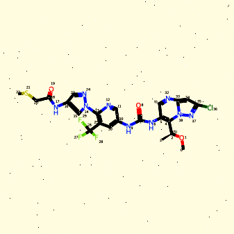 CO[C@@H](C)c1c(NC(=O)Nc2cnc(-n3cc(NC(=O)CSC)cn3)c(C(F)(F)F)c2)cnc2cc(Cl)nn12